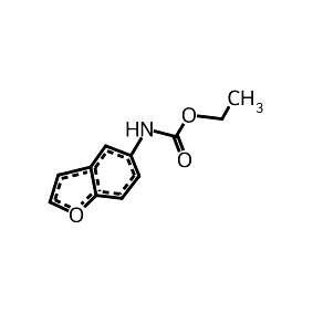 CCOC(=O)Nc1ccc2occc2c1